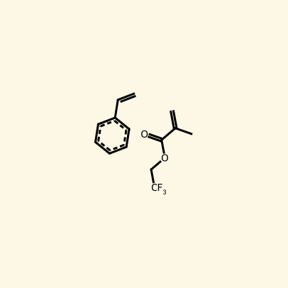 C=C(C)C(=O)OCC(F)(F)F.C=Cc1ccccc1